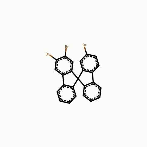 Brc1ccc2c(c1)C1(c3ccccc3-2)c2ccccc2-c2cc(Br)c(Br)cc21